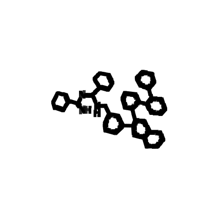 N=C(/N=C(\NCc1cccc(-c2cc3ccccc3cc2-c2ccccc2-c2ccccc2-c2ccccc2)c1)C1=CC=CCC1)C1=CCCC=C1